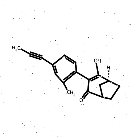 CC#Cc1ccc(C2=C(O)[C@H]3CCC(C3)C2=O)c(C)c1